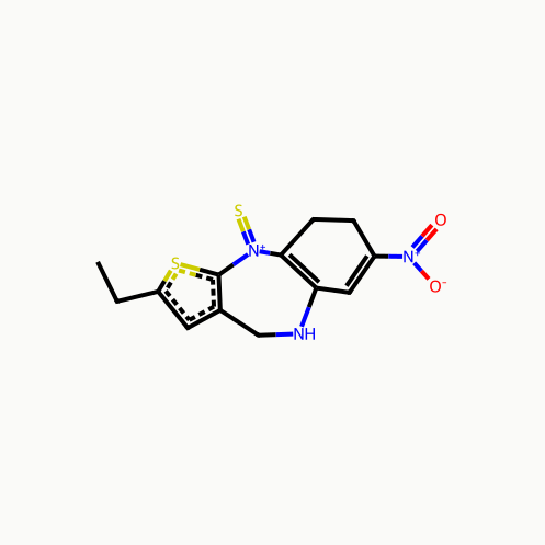 CCc1cc2c(s1)[N+](=S)C1=C(C=C([N+](=O)[O-])CC1)NC2